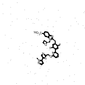 Cn1nccc1-c1cnc(COc2cccc(-c3cc(F)c(Cc4nc5ccc(C(=O)O)cc5n4C[C@@H]4CCO4)cc3F)n2)s1